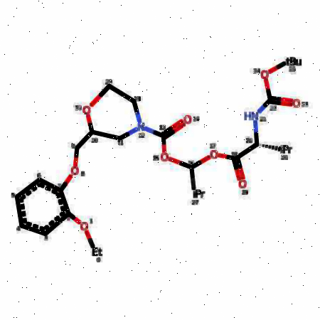 CCOc1ccccc1OCC1CN(C(=O)OC(OC(=O)[C@H](NC(=O)OC(C)(C)C)C(C)C)C(C)C)CCO1